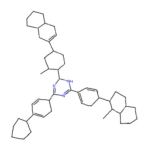 CC1CC(C2=CCC3CCCCC3C2)CCC1C1N=C(C2C=CC(C3CCCCC3)=CC2)N=C(C2=CCC(C3CCC4CCCCC4C3C)C=C2)N1